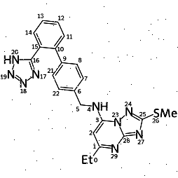 CCc1cc(NCc2ccc(-c3ccccc3-c3nnn[nH]3)cc2)n2nc(SC)nc2n1